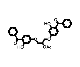 CC(=O)OC(COc1ccc(C(=O)c2ccccc2)c(O)c1)COc1ccc(C(=O)c2ccccc2)c(O)c1